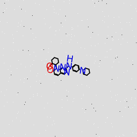 O=C1CCCCC1n1c(=O)ccc2cnc(Nc3ccc(N4CCCCC4)cc3)nc21